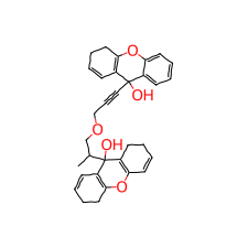 CC(COCC#CC1(O)C2=C(CCC=C2)Oc2ccccc21)C1(O)C2=C(CCC=C2)OC2=C1CCC=C2